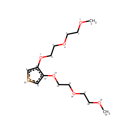 COCCOCCOc1[c]s[c]c1OCCOCCOC